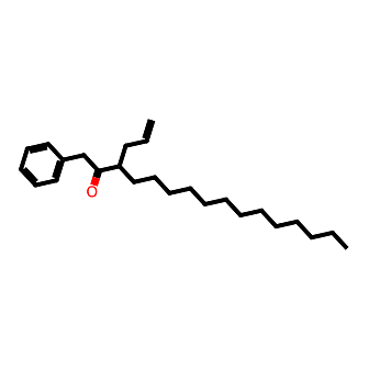 C=CCC(CCCCCCCCCCCCC)C(=O)Cc1ccccc1